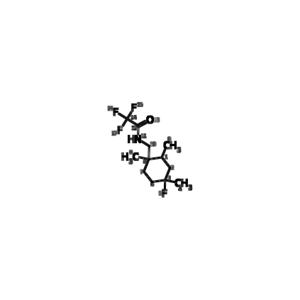 CC1CC(C)(F)CCC1(C)CNC(=O)C(F)(F)F